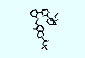 CCOC(=O)[C@@]12CCN(c3nccc(-c4ccccc4OCc4ccc5c(c4C)CCN(C(=O)OC(C)(C)C)C5)n3)C[C@@H]1C2